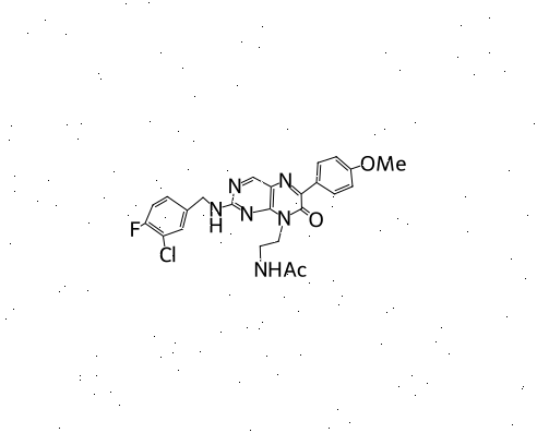 COc1ccc(-c2nc3cnc(NCc4ccc(F)c(Cl)c4)nc3n(CCNC(C)=O)c2=O)cc1